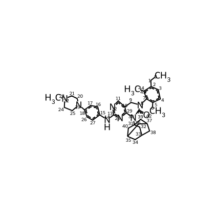 CCc1ccc(C)c(N2Cc3cnc(Nc4ccc(N5CCN(C)CC5)cc4)nc3N(C34CC5CC(CC(C5)C3)C4)C2=O)c1C